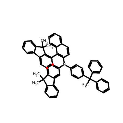 CC1(C)c2ccccc2-c2cc(N(c3ccc(C(C)(c4ccccc4)c4ccccc4)cc3)c3ccc4ccccc4c3-c3cccc4c3C(C)(C)c3ccccc3-4)ccc21